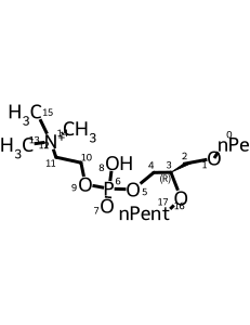 CCCCCOC[C@H](COP(=O)(O)OCC[N+](C)(C)C)OCCCCC